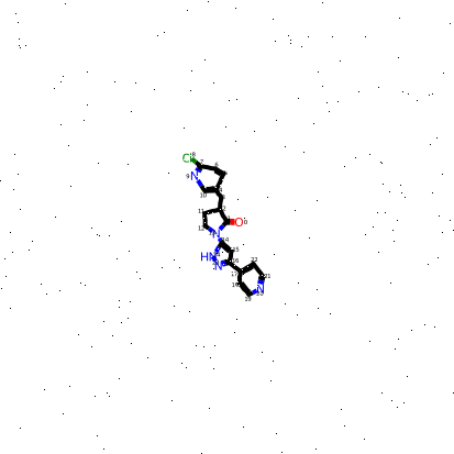 O=C1C(Cc2ccc(Cl)nc2)CCN1c1cc(-c2ccncc2)n[nH]1